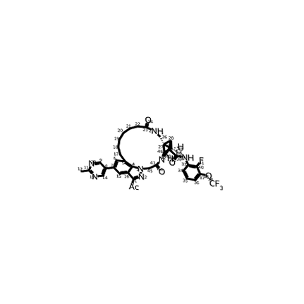 CC(=O)c1nn2c3c(cc(-c4cnc(C)nc4)cc13)CCCCCCC(=O)NC[C@@]13C4[C@@H](C(=O)Nc5cccc(OC(F)(F)F)c5F)N(C(=O)C2)[C@@H]1[C@H]43